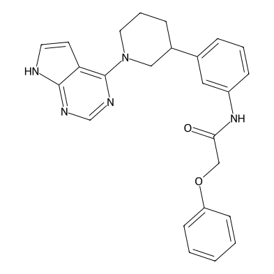 O=C(COc1ccccc1)Nc1cccc(C2CCCN(c3ncnc4[nH]ccc34)C2)c1